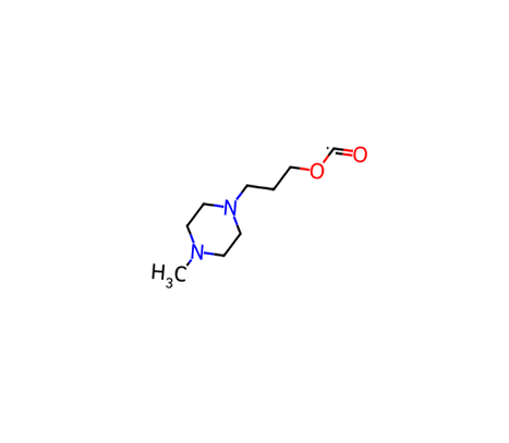 CN1CCN(CCCO[C]=O)CC1